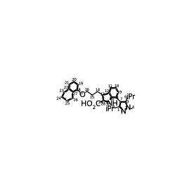 CC(C)c1nn(C)c(C(C)C)c1-c1cccc2c(CCCOc3cccc4ccccc34)c(C(=O)O)[nH]c12